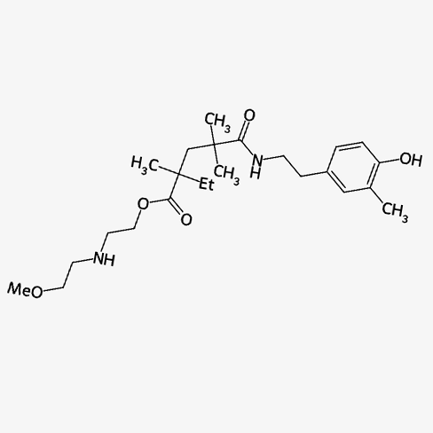 CCC(C)(CC(C)(C)C(=O)NCCc1ccc(O)c(C)c1)C(=O)OCCNCCOC